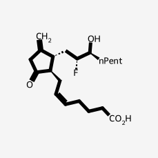 C=C1CC(=O)[C@H](C/C=C\CCCC(=O)O)[C@H]1C[C@@H](F)[C@@H](O)CCCCC